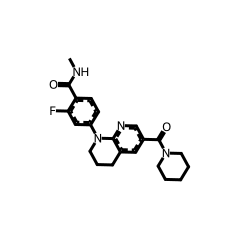 CNC(=O)c1ccc(N2CCCc3cc(C(=O)N4CCCCC4)cnc32)cc1F